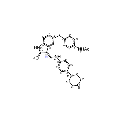 CC(=O)Nc1ccc(Cc2ccc3c(c2)/C(=C\Nc2ccc(N4CCOCC4)cc2)C(=O)N3)cc1